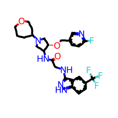 O=C(CNc1n[nH]c2ccc(C(F)(F)F)cc12)NC1CN(C2CCCOCC2)C[C@@H]1OCc1ccc(F)nc1